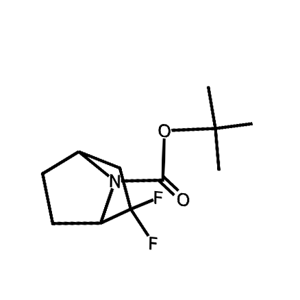 CC(C)(C)OC(=O)N1C2CCC1C(F)(F)C2